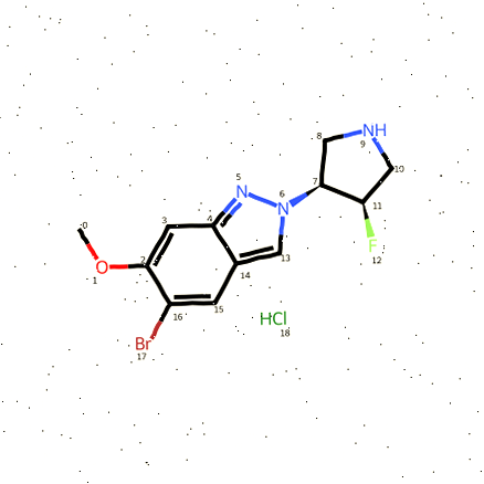 COc1cc2nn([C@H]3CNC[C@H]3F)cc2cc1Br.Cl